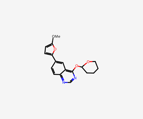 COc1ccc(-c2ccc3ncnc(OC4CCCCO4)c3c2)o1